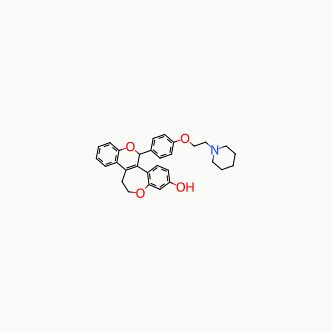 Oc1ccc2c(c1)OCCC1=C2C(c2ccc(OCCN3CCCCC3)cc2)Oc2ccccc21